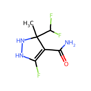 CC1(C(F)F)NNC(F)=C1C(N)=O